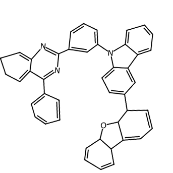 C1=CC2OC3C(=CC=CC3c3ccc4c(c3)c3ccccc3n4-c3cccc(-c4nc(-c5ccccc5)c5c(n4)=CCCC=5)c3)C2C=C1